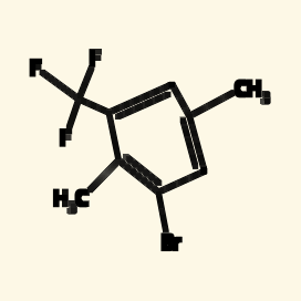 Cc1cc(Br)c(C)c(C(F)(F)F)c1